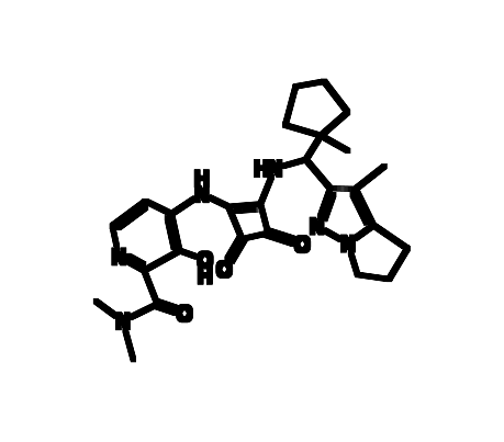 Cc1c(C(Nc2c(Nc3ccnc(C(=O)N(C)C)c3O)c(=O)c2=O)C2(C)CCCC2)nn2c1CCC2